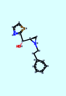 O[C@H](c1nccs1)[C@H]1CN1CCc1ccccc1